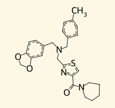 Cc1ccc(CN(Cc2ccc3c(c2)OCO3)Cc2nc(C(=O)N3CCCCC3)cs2)cc1